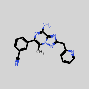 Cc1c(-c2cccc(C#N)c2)nc(N)c2nc(Cc3ccccn3)nn12